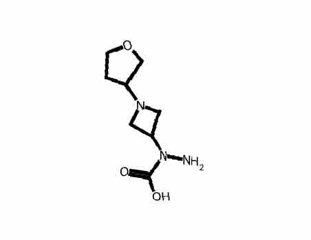 NN(C(=O)O)C1CN(C2CCOC2)C1